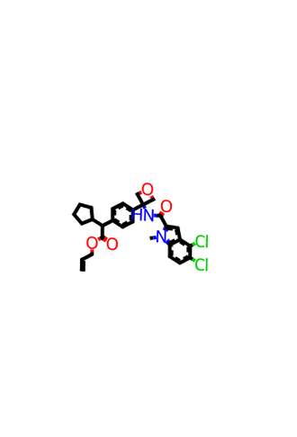 C=CCOC(=O)C(c1ccc(C2(NC(=O)c3cc4c(Cl)c(Cl)ccc4n3C)COC2)cc1)C1CCCC1